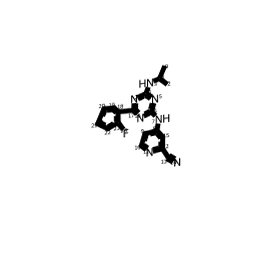 CC(C)Nc1nc(Nc2ccnc(C#N)c2)nc(-c2ccccc2F)n1